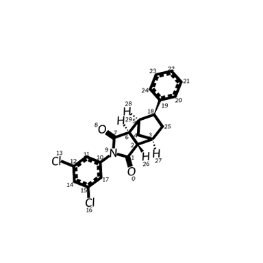 O=C1[C@H]2[C@H]3C[C@@H]([C@@H]2C(=O)N1c1cc(Cl)cc(Cl)c1)[C@@H](c1ccccc1)C3